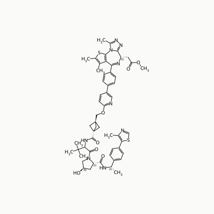 COC(=O)C[C@@H]1N=C(c2ccc(-c3ccc(OC[C@]45C[C@@](C(=O)NC(C(=O)N6C[C@H](O)C[C@H]6C(=O)N[C@@H](C)c6ccc(-c7scnc7C)cc6)C(C)(C)C)(C4)C5)nc3)cc2)c2c(sc(C)c2C)-n2c(C)nnc21